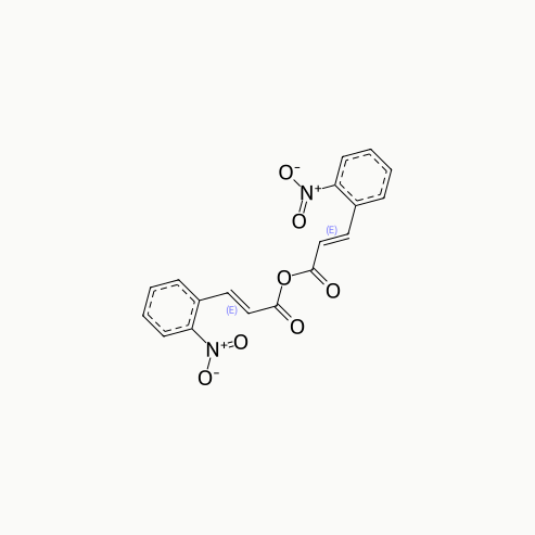 O=C(/C=C/c1ccccc1[N+](=O)[O-])OC(=O)/C=C/c1ccccc1[N+](=O)[O-]